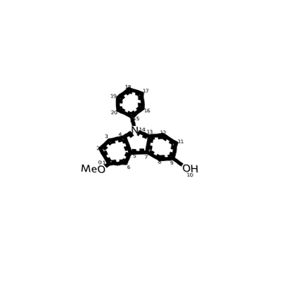 COc1ccc2c(c1)c1cc(O)ccc1n2-c1ccccc1